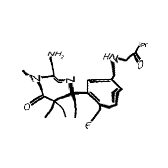 CC(C)C(=O)Nc1ccc(F)c(C2(C)N=C(N)N(C)C(=O)C2(C)C)c1